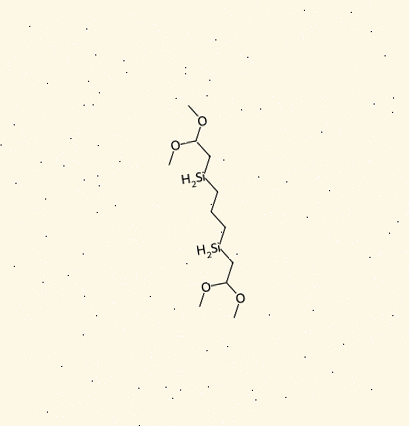 COC(C[SiH2]CCC[SiH2]CC(OC)OC)OC